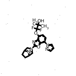 CC(C)(O)C(F)(F)Oc1ccc(-n2cccn2)c2oc(N3CC4CCC(C3)N4)nc12